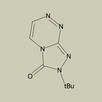 CC(C)(C)n1nc2nnccn2c1=O